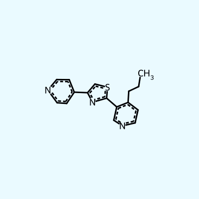 CCCc1ccncc1-c1nc(-c2ccncc2)cs1